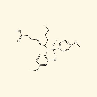 CCCCC(/C=C/CCC(=O)O)C1c2ccc(OC)cc2OCC1(SC)c1ccc(OC)cc1